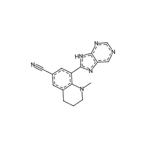 CN1CCCc2cc(C#N)cc(-c3nc4cncnc4[nH]3)c21